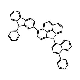 c1ccc(-c2cnc(-n3c4cccc5ccc6c(-c7ccc8c9ccccc9n(-c9ccccc9)c8c7)ccc3c6c54)c3ccccc23)cc1